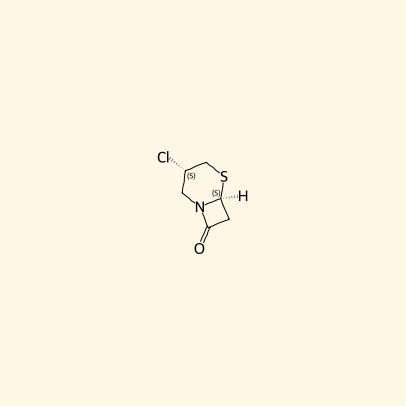 O=C1C[C@@H]2SC[C@@H](Cl)CN12